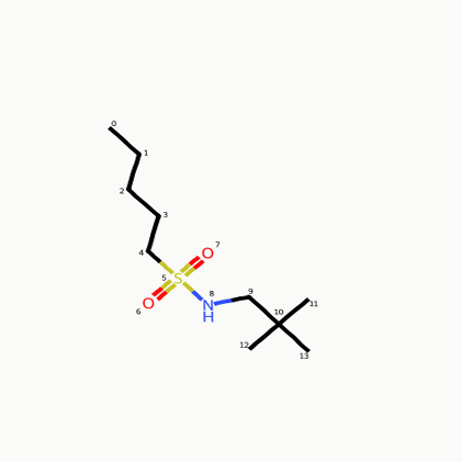 CCCCCS(=O)(=O)NCC(C)(C)C